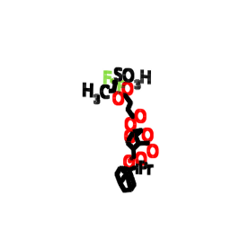 CC(C)C1(OC(=O)C2C3OC4C(OC(=O)C42)C3OC(=O)CCC(=O)OC(C)C(F)(F)S(=O)(=O)O)C2CC3CC(C2)CC1C3